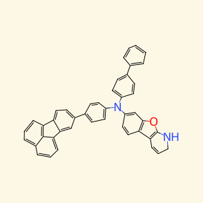 C1=Cc2c(oc3cc(N(c4ccc(-c5ccccc5)cc4)c4ccc(-c5ccc6c(c5)-c5cccc7cccc-6c57)cc4)ccc23)NC1